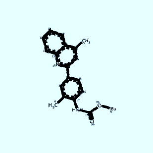 Cc1cc(-c2cc(C)c3ccccc3n2)ccc1NC(=O)OC(C)(C)C